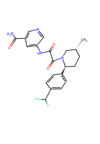 C[C@@H]1CC[C@@H](c2ccc(C(F)F)cc2)N(C(=O)C(=O)Nc2cncc(C(N)=O)c2)C1